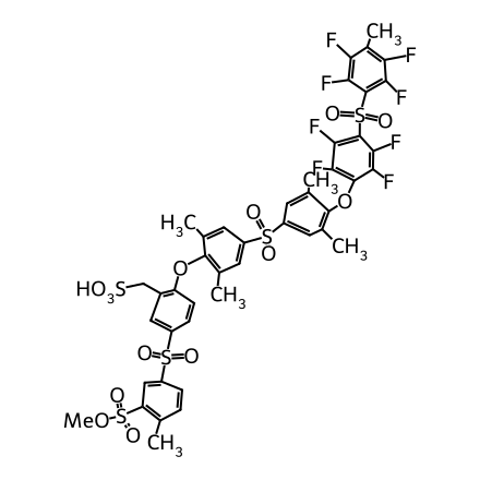 COS(=O)(=O)c1cc(S(=O)(=O)c2ccc(Oc3c(C)cc(S(=O)(=O)c4cc(C)c(Oc5c(F)c(F)c(S(=O)(=O)c6c(F)c(F)c(C)c(F)c6F)c(F)c5F)c(C)c4)cc3C)c(CS(=O)(=O)O)c2)ccc1C